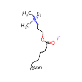 CCCCCCCCCCCCCC(=O)OCCC[N+](C)(C)CC.[I-]